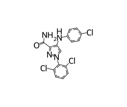 NC(=O)c1nn(-c2c(Cl)cccc2Cl)cc1Nc1ccc(Cl)cc1